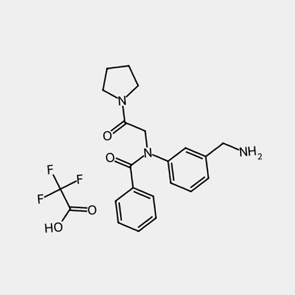 NCc1cccc(N(CC(=O)N2CCCC2)C(=O)c2ccccc2)c1.O=C(O)C(F)(F)F